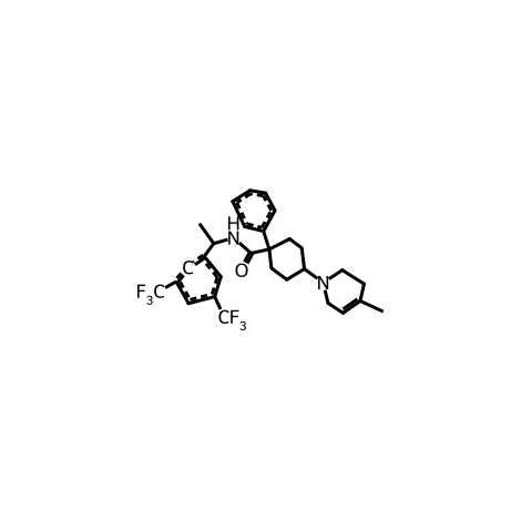 CC1=CCN(C2CCC(C(=O)NC(C)c3cc(C(F)(F)F)cc(C(F)(F)F)c3)(c3ccccc3)CC2)CC1